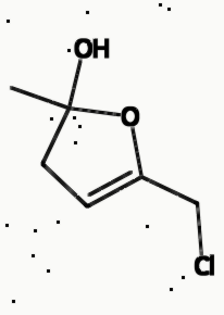 CC1(O)CC=C(CCl)O1